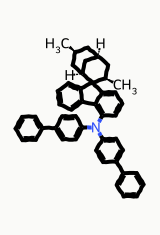 C[C@H]1C[C@@H]2C[C@H](C1)C1(c3ccccc3-c3c(N(c4ccc(-c5ccccc5)cc4)c4ccc(-c5ccccc5)cc4)cccc31)[C@H](C)C2